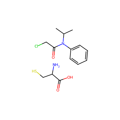 CC(C)N(C(=O)CCl)c1ccccc1.NC(CS)C(=O)O